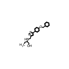 CCC(CO)NCc1cc(-c2ccc(OCc3ccccc3)cc2)no1